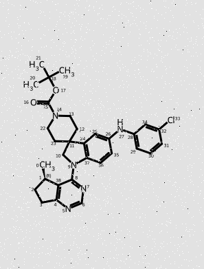 C[C@@H]1CCc2ncnc(N3CC4(CCN(C(=O)OC(C)(C)C)CC4)c4cc(Nc5cccc(Cl)c5)ccc43)c21